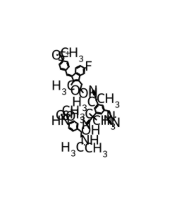 CC(C)(C#N)c1cc(Cn2cncn2)cc(C(C)(C)C#N)c1.CC(C)NCC(O)c1ccc(NS(C)(=O)=O)cc1.CC1=C(CC(=O)O)c2cc(F)ccc2/C1=C\c1ccc([S+](C)[O-])cc1